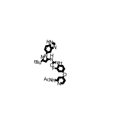 CC(=O)Nc1cc(Oc2ccc(NC(=O)Nc3cc(C(C)(C)C)nn3-c3ccc4[nH]cnc4c3)c(F)c2)ccn1